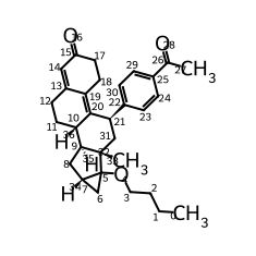 CCCCOC12C[C@@H]1C[C@H]1[C@@H]3CCC4=CC(=O)CCC4=C3[C@@H](c3ccc(C(C)=O)cc3)C[C@@]12C